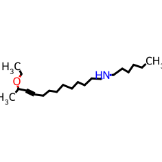 CCCCCCNCCCCCCCCCC#CC(C)OCC